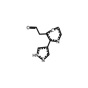 O=CCc1cccnc1-c1cn[nH]c1